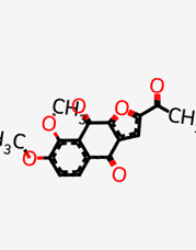 COc1ccc2c(c1OC)C(=O)c1oc(C(C)=O)cc1C2=O